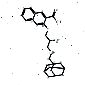 O=C(O)c1cc2ccccc2cc1OCC(O)CNCC12CC3CC(CC(C3)C1)C2